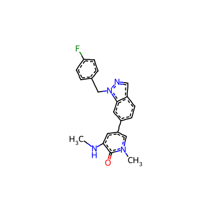 CNc1cc(-c2ccc3cnn(Cc4ccc(F)cc4)c3c2)cn(C)c1=O